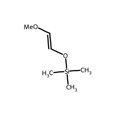 COC=CO[Si](C)(C)C